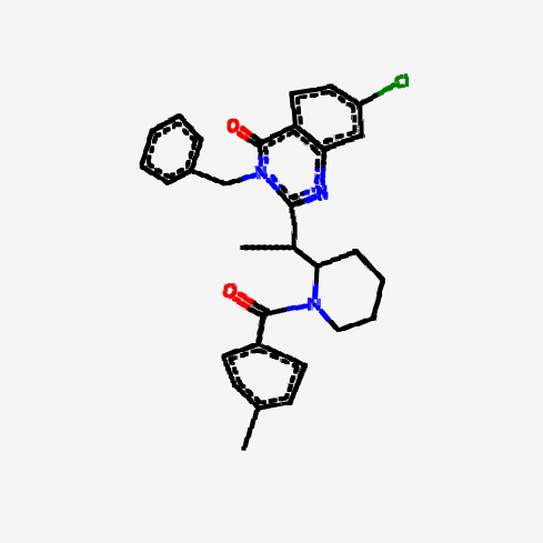 Cc1ccc(C(=O)N2CCCCC2C(C)c2nc3cc(Cl)ccc3c(=O)n2Cc2ccccc2)cc1